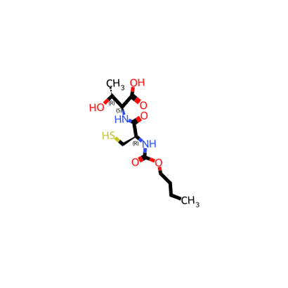 CCCCOC(=O)N[C@@H](CS)C(=O)N[C@H](C(=O)O)[C@@H](C)O